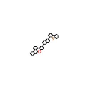 c1ccc2c(c1)cc1c3c(cccc32)-c2cc(-c3ccc4cc(-c5cccc6c5sc5ccccc56)ccc4c3)ccc2O1